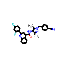 Cc1nn(Cc2ccc(C#N)cc2)c(C)c1NC(=O)c1cc(-c2ccc(F)cc2F)nc2ccccc12